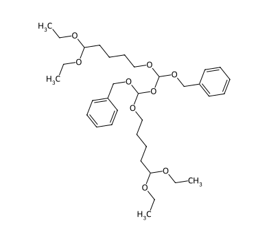 CCOC(CCCCOC(OCc1ccccc1)OC(OCCCCC(OCC)OCC)OCc1ccccc1)OCC